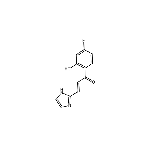 O=C(C=Cc1ncc[nH]1)c1ccc(F)cc1O